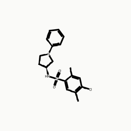 Cc1cc(S(=O)(=O)N[C@H]2CCN(c3ccccc3)C2)c(C)cc1Cl